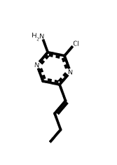 CCC=Cc1cnc(N)c(Cl)n1